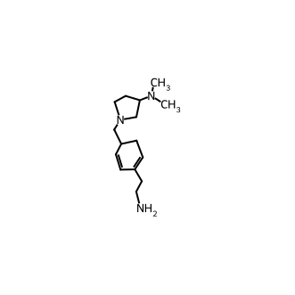 CN(C)C1CCN(CC2C=CC(CCN)=CC2)C1